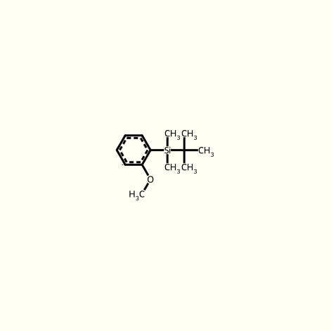 COc1[c]cccc1[Si](C)(C)C(C)(C)C